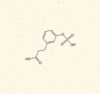 O=C(O)CCc1cccc(OS(=O)(=O)O)c1